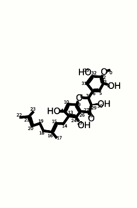 COc1c(O)cc(C2Oc3cc(O)c(C/C=C(\C)CCC=C(C)C)c(O)c3C(=O)[C@@H]2O)cc1O